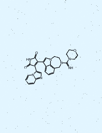 N=C(N1CCOCC1)N1CCn2cc(C3=C(c4cnc5ccccn45)C(=O)NC3=O)c3cccc(c32)C1